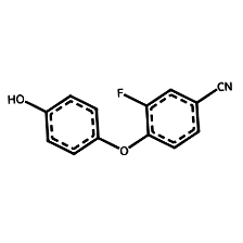 N#Cc1ccc(Oc2ccc(O)cc2)c(F)c1